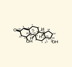 C[C@]12CC[C@H]3[C@@H](CCC4=CC(=O)CC(O)[C@@]43C)[C@@H]1CC[C@@H]2O